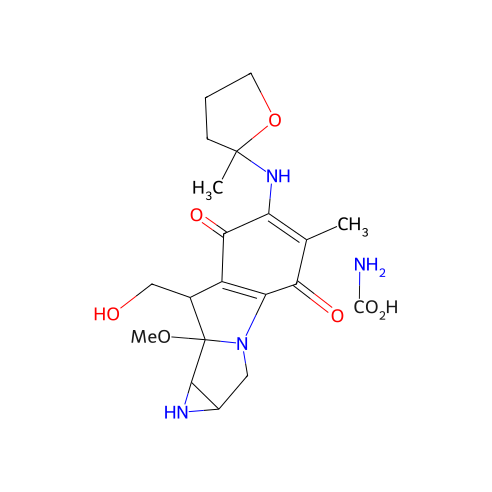 COC12C(CO)C3=C(C(=O)C(C)=C(NC4(C)CCCO4)C3=O)N1CC1NC12.NC(=O)O